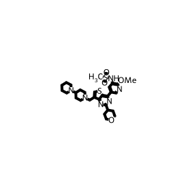 COc1ncc(-c2nc(C3CCOCC3)nc3c(CN4CCC(N5CCCCC5)CC4)csc23)cc1NS(C)(=O)=O